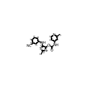 Cc1cc(NC(=O)Oc2nc(C)sc2Nc2cccc(C#N)c2)ccn1